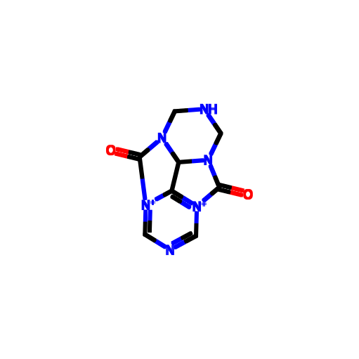 O=C1N2CNCN3C(=O)[n+]4cnc[n+]1c4C23